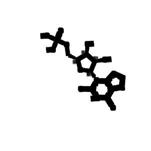 O=c1[nH]c(=O)n([C@@H]2O[C@H](COP(=O)(O)O)[C@@H](O)[C@H]2O)c2ccsc12